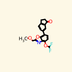 COCc1nc2c(OC(F)F)ccc(-c3ccc4c(c3)C(=O)CC4)c2o1